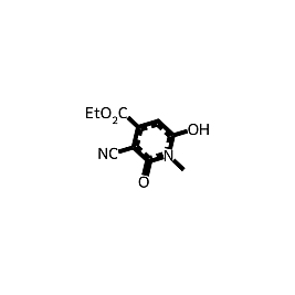 CCOC(=O)c1cc(O)n(C)c(=O)c1C#N